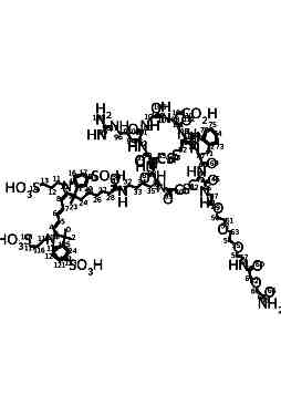 CC1(C)C(/C=C/C=C/C=C2/N(CCCS(=O)(=O)O)c3ccc(S(=O)(=O)O)cc3C2(C)CCCCCC(=O)NCCCC[C@@H]2NC(=O)CSC[C@@H](C(=O)NCCOCCOCCOCCNC(=O)COCC(N)=O)NC(=O)[C@H](Cc3ccccc3)NC(=O)[C@@H]3CSSC[C@H](NC2=O)C(=O)N[C@@H](CCCNC(=N)N)C(=O)NCC(=O)N[C@@H](CC(=O)O)C(=O)N3)=[N+](CCCS(=O)(=O)O)c2ccc(S(=O)(=O)O)cc21